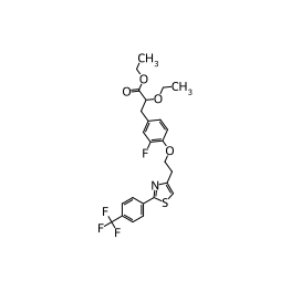 CCOC(=O)C(Cc1ccc(OCCc2csc(-c3ccc(C(F)(F)F)cc3)n2)c(F)c1)OCC